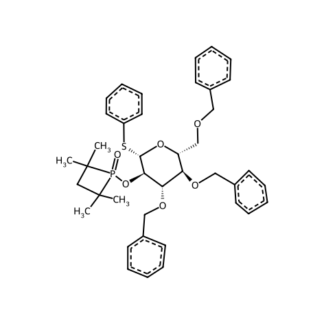 CC1(C)CC(C)(C)P1(=O)O[C@@H]1[C@@H](OCc2ccccc2)[C@H](OCc2ccccc2)[C@@H](COCc2ccccc2)O[C@H]1Sc1ccccc1